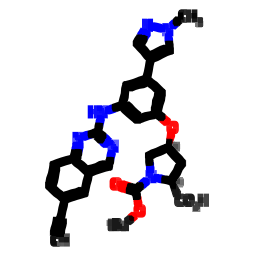 C#Cc1ccc2nc(Nc3cc(O[C@H]4C[C@@H](C(=O)O)N(C(=O)OC(C)(C)C)C4)cc(-c4cnn(C)c4)c3)ncc2c1